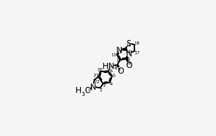 CN1Cc2ccc(NC(=O)c3cnc4n(c3=O)CCS4)cc2C1